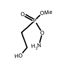 COP(=O)(CCO)ON